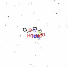 NO.O=C(O)c1ccc(-c2cccc(COCc3ccccc3)n2)s1